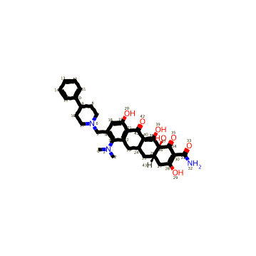 CN(C)c1c(CN2CCC(c3ccccc3)CC2)cc(O)c2c1CC1C[C@H]3CC(O)=C(C(N)=O)C(=O)[C@@]3(O)C(O)=C1C2=O